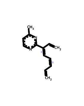 C=C/C=C\C=C(/C=C)c1nccc(C)n1